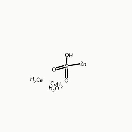 O.O=[S](=O)(O)[Zn].[CaH2].[CaH2]